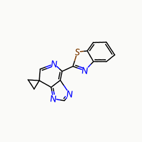 C1=NC2=C(c3nc4ccccc4s3)N=CC3(CC3)C2=N1